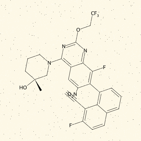 C#Cc1c(F)ccc2cccc(-c3c([N+](=O)[O-])cc4c(N5CCC[C@@](C)(O)C5)nc(OCC(F)(F)F)nc4c3F)c12